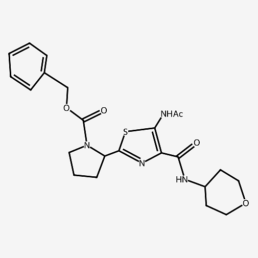 CC(=O)Nc1sc(C2CCCN2C(=O)OCc2ccccc2)nc1C(=O)NC1CCOCC1